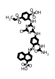 C=CS(=O)(=O)c1ccc(S(=O)(=O)O)c(Nc2nc(Cl)nc(Nc3ccc(N=Nc4ccc(S(=O)(=O)O)c5ccccc45)c(NC(N)=O)c3)n2)c1